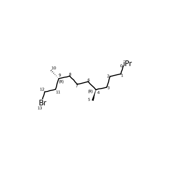 CC(C)CCC[C@@H](C)CCC[C@@H](C)CCBr